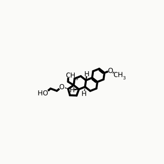 CCC12CC[C@@H]3C4=C(CC[C@H]3[C@@H]1CC[C@@H]2OCCO)CC(OC)=CC4